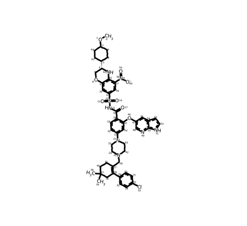 COC1CCC([C@H]2COc3cc(S(=O)(=O)NC(=O)c4ccc(N5CCN(CC6=C(c7ccc(Cl)cc7)CC(C)(C)CC6)CC5)cc4Oc4cnc5[nH]ccc5c4)cc([N+](=O)[O-])c3N2)CC1